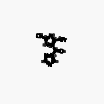 CC(C)c1nc(Cl)nn1C(=O)n1cncn1